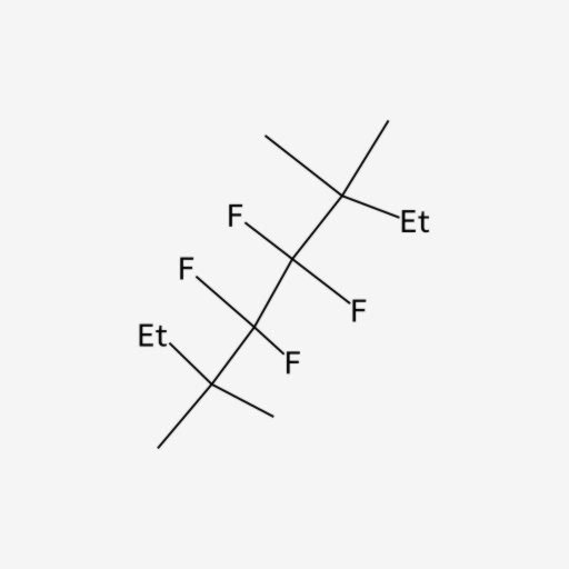 CCC(C)(C)C(F)(F)C(F)(F)C(C)(C)CC